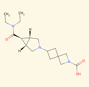 CCN(CC)C(=O)[C@H]1[C@@H]2CN(C3CC4(C3)CN(C(=O)O)C4)C[C@@H]21